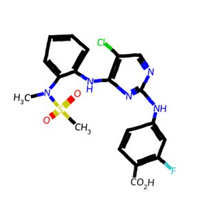 CN(c1ccccc1Nc1nc(Nc2ccc(C(=O)O)c(F)c2)ncc1Cl)S(C)(=O)=O